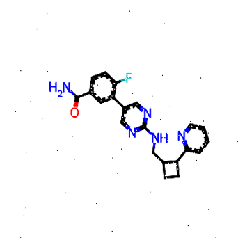 NC(=O)c1ccc(F)c(-c2cnc(NCC3CCC3c3ccccn3)nc2)c1